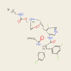 COC(=O)N[C@H](C(=O)Nc1cncc(F)c1CC[C@@H]1CN[C@@H](COC(=O)NCC(F)(F)F)CO1)[C@@H](c1ccc(F)cc1)c1cc(F)cc(F)c1